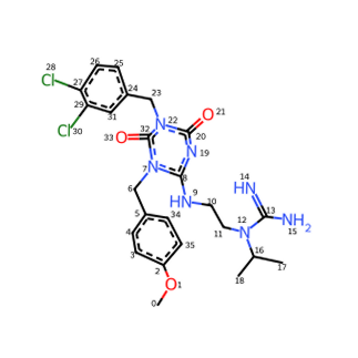 COc1ccc(Cn2c(NCCN(C(=N)N)C(C)C)nc(=O)n(Cc3ccc(Cl)c(Cl)c3)c2=O)cc1